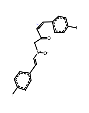 O=C(/C=C\c1ccc(I)cc1)C[S+]([O-])C=Cc1ccc(I)cc1